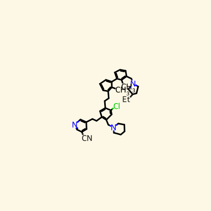 CCC1CCN(Cc2cccc(-c3cccc(CCc4cc(CCc5cncc(C#N)c5)c(CN5CCCCC5)cc4Cl)c3C)c2C)C1